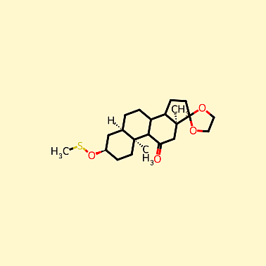 CSO[C@@H]1CC[C@]2(C)C3C(=O)C[C@@]4(C)C(CCC45OCCO5)C3CC[C@@H]2C1